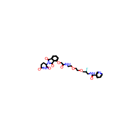 O=C(COc1cccc2c1C(=O)N(C1CCC(=O)NC1=O)C2=O)NCCOCCOCC(F)CNC(=O)c1cccnc1